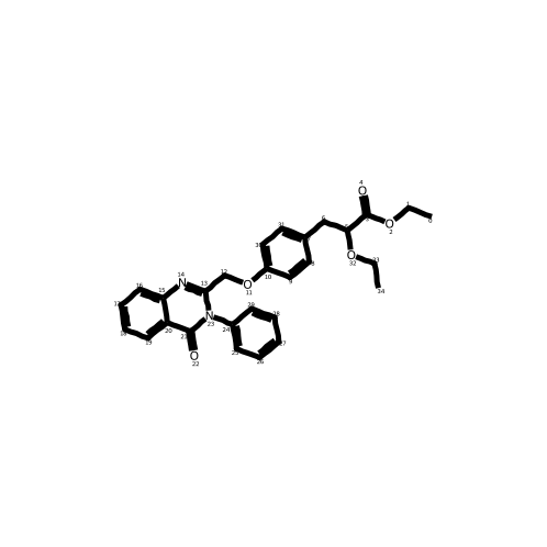 CCOC(=O)C(Cc1ccc(OCc2nc3ccccc3c(=O)n2-c2ccccc2)cc1)OCC